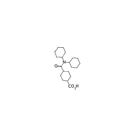 O=C(O)C1CCC(C(=O)N(C2CCCCC2)C2CCCCC2)CC1